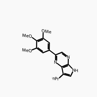 CC[CH]c1c[nH]c2ncc(-c3cc(OC)c(OC)c(OC)c3)nc12